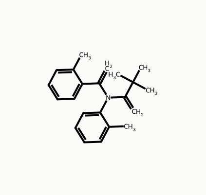 C=C(c1ccccc1C)N(C(=C)C(C)(C)C)c1ccccc1C